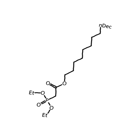 CCCCCCCCCCCCCCCCCCOC(=O)CP(=O)(OCC)OCC